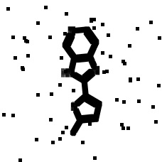 Cc1ccc(-c2nc3ccncc3[nH]2)s1